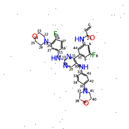 C=CC(=O)Nc1cc(F)cc(-c2nc(Nc3ccc(F)c(N4CCOCC4)c3)ncc2Nc2ccc(N3CCOCC3)cc2)c1